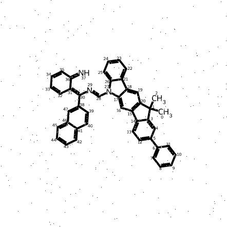 CC1(C)c2cc(-c3ccccc3)ccc2-c2cc3c(cc21)c1ccccc1n3/C=N/C(=C1/C=CC=CC1=N)c1ccc2ccccc2c1